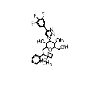 Cc1ccccc1C(CC1O[C@H](CO)[C@H](O)[C@H](n2cc(-c3cc(F)c(F)c(F)c3)nn2)[C@H]1O)C1(O)CCC1